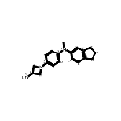 CN(c1ccc(N2CC(O)C2)cc1)c1ccc2c(c1)CCC2